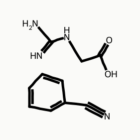 N#Cc1ccccc1.N=C(N)NCC(=O)O